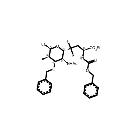 CCOC(=O)[C@H](CC(F)(F)[C@H]1O[C@H](CC)[C@H](C)[C@H](OCc2ccccc2)[C@H]1NC(C)=O)NC(=O)OCc1ccccc1